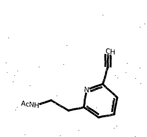 C#Cc1cccc(CCNC(C)=O)n1